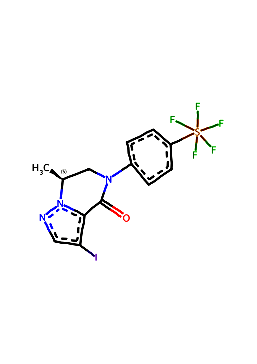 C[C@H]1CN(c2ccc(S(F)(F)(F)(F)F)cc2)C(=O)c2c(I)cnn21